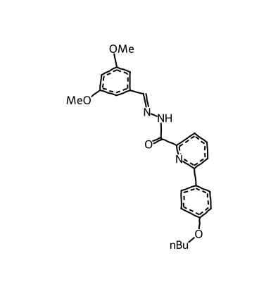 CCCCOc1ccc(-c2cccc(C(=O)NN=Cc3cc(OC)cc(OC)c3)n2)cc1